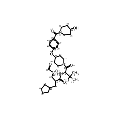 CC(C)(C)C(NC(=O)C(CC1CCCC1)CN(O)C=O)C(=O)N1CCC(Oc2ccc(C(=O)N3CCC(O)CC3)cc2)CC1